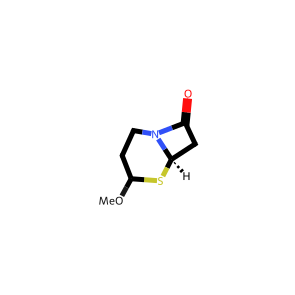 COC1CCN2C(=O)C[C@H]2S1